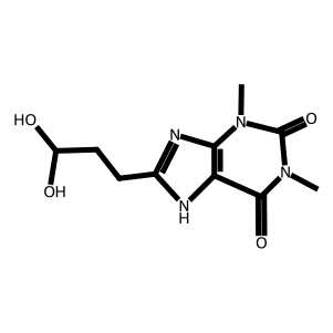 Cn1c(=O)c2[nH]c(CCC(O)O)nc2n(C)c1=O